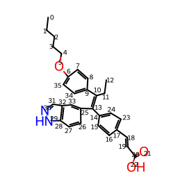 CCCCCOc1ccc(C(CC)=C(c2ccc(C=CC(=O)O)cc2)c2ccc3[nH]ncc3c2)cc1